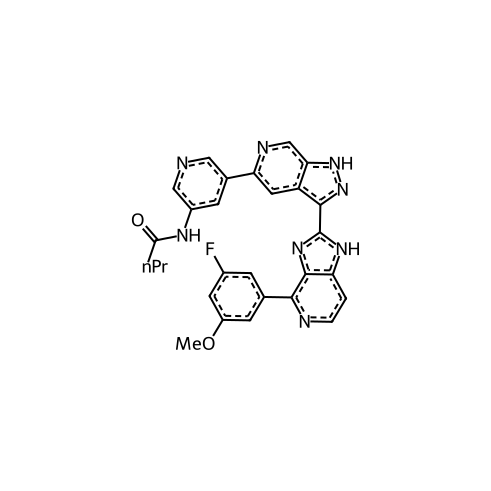 CCCC(=O)Nc1cncc(-c2cc3c(-c4nc5c(-c6cc(F)cc(OC)c6)nccc5[nH]4)n[nH]c3cn2)c1